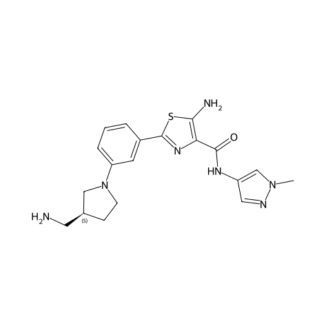 Cn1cc(NC(=O)c2nc(-c3cccc(N4CC[C@@H](CN)C4)c3)sc2N)cn1